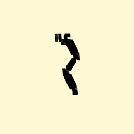 C=NN=S